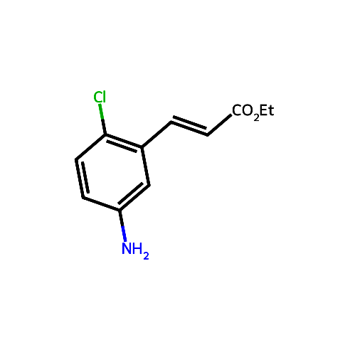 CCOC(=O)/C=C/c1cc(N)ccc1Cl